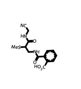 CSC(CNC(=O)c1ccccc1C(=O)O)C(=O)NCC#N